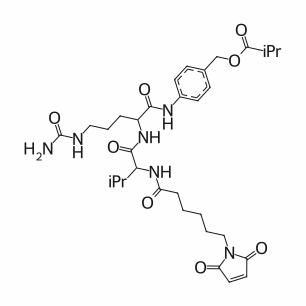 CC(C)C(=O)OCc1ccc(NC(=O)C(CCCNC(N)=O)NC(=O)C(NC(=O)CCCCCN2C(=O)C=CC2=O)C(C)C)cc1